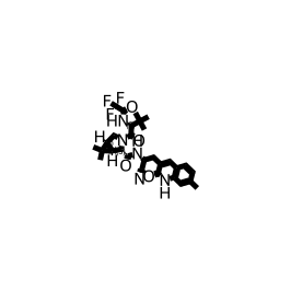 Cc1ccc2cc(CC(C#N)NC(=O)[C@@H]3[C@@H]4[C@H](CN3C(=O)[C@@H](NC(=O)C(F)(F)F)C(C)(C)C)C4(C)C)c(=O)[nH]c2c1